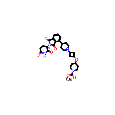 CC(C)(C)OC(=O)N1CCC(OC2CC(N3CCC(c4cccc5c4C(=O)N([C@@H]4CCC(=O)NC4=O)C5=O)CC3)C2)CC1